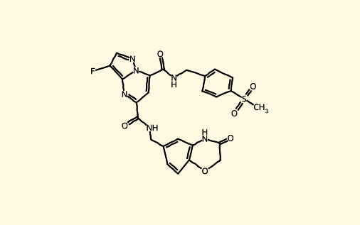 CS(=O)(=O)c1ccc(CNC(=O)c2cc(C(=O)NCc3ccc4c(c3)NC(=O)CO4)nc3c(F)cnn23)cc1